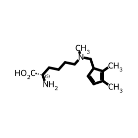 CC1=C(C)C(CN(C)CCCC[C@H](N)C(=O)O)C=C1